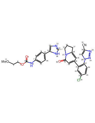 COCCOC(=O)Nc1ccc(-c2cnc([C@@H]3CCc4cc(-c5cc(Cl)ccc5-n5cc(C#N)nn5)cc(=O)n43)[nH]2)cc1